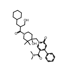 CN(C)C(=O)c1cn(C[C@@]2(O)CCN(C(=O)C(CO)CC3CCCCC3)CC2(C)C)c(=O)cc1-c1ccccc1